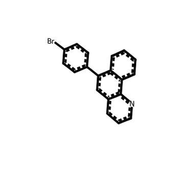 Brc1ccc(-c2cc3cccnc3c3ccccc23)cc1